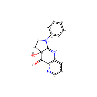 O=C1c2ncccc2N=C2N(c3ccccc3)CCC12O